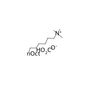 CCCCCCCCCCCCCC[N+](C)(C)C.O=C([O-])O